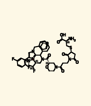 N[C@@H](CSC1CC(=O)N(CCC(=O)N2CCO[C@H](C(=O)N(C[C@@H]3CNC[C@@H]3F)C(c3nc(-c4cc(F)ccc4F)cn3Cc3ccccc3)C3CCOCC3)C2)C1=O)C(=O)O